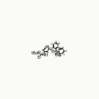 CC(C)(C)OC(=O)Nc1ccnc(CO[Si](c2ccccc2)(c2ccccc2)C(C)(C)C)c1